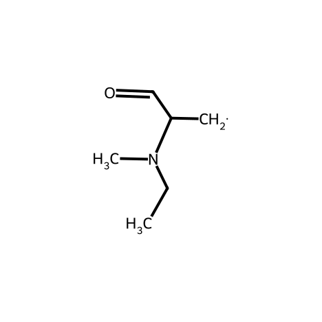 [CH2]C(C=O)N(C)CC